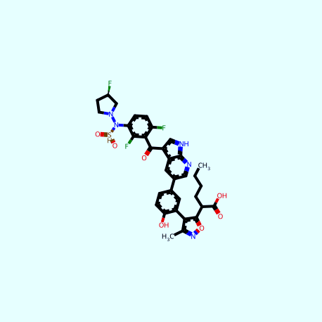 CCCCC(C(=O)O)c1onc(C)c1-c1cc(-c2cnc3[nH]cc(C(=O)c4c(F)ccc(N(N5CC[C@@H](F)C5)[SH](=O)=O)c4F)c3c2)ccc1O